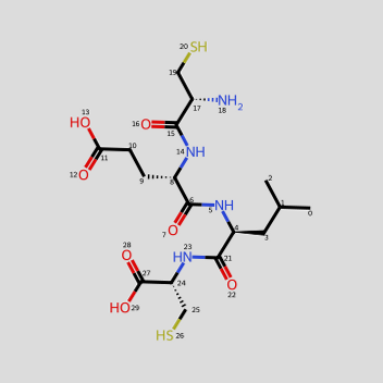 CC(C)C[C@H](NC(=O)[C@H](CCC(=O)O)NC(=O)[C@@H](N)CS)C(=O)N[C@H](CS)C(=O)O